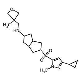 Cn1nc(C2CC2)cc1S(=O)(=O)N1CC2CC(NCC3(C)COC3)CC2C1